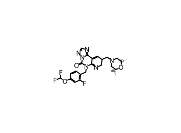 C[C@@H]1CN(CC2C=c3c(n(Cc4ccc(OC(F)F)cc4F)c(=O)n4ncnc34)=NC2)C[C@H](C)O1